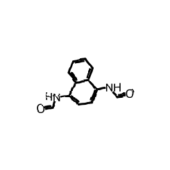 O=CNc1ccc(NC=O)c2ccccc12